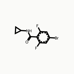 O=C(NC1CC1)c1c(F)cc(Br)cc1F